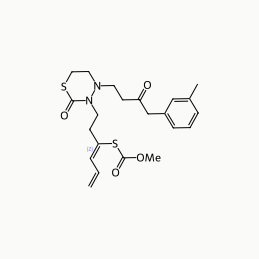 C=C/C=C(/CCN1C(=O)SCCN1CCC(=O)Cc1cccc(C)c1)SC(=O)OC